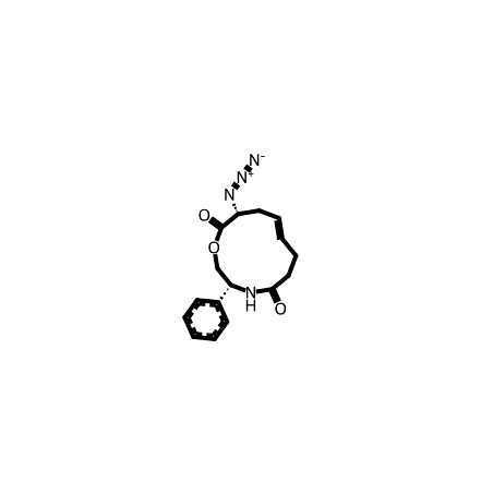 [N-]=[N+]=N[C@@H]1C/C=C/CCC(=O)N[C@H](c2ccccc2)COC1=O